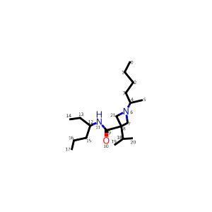 CCCCC(C)N1CC(C(=O)NC(CC)CCC)(C(C)C)C1